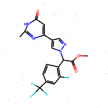 COC(=O)C(c1ccc(C(F)(F)F)cc1F)n1cc(-c2cc(=O)[nH]c(C)n2)cn1